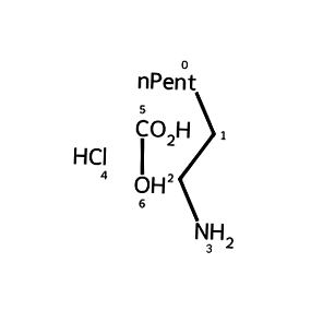 CCCCCCCN.Cl.O=C(O)O